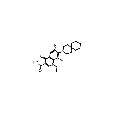 CCn1cc(C(=O)O)c(=O)c2cc(F)c(N3CCC4(CCCCC4)CC3)c(F)c21